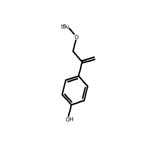 C=C(COC(C)(C)C)c1ccc(O)cc1